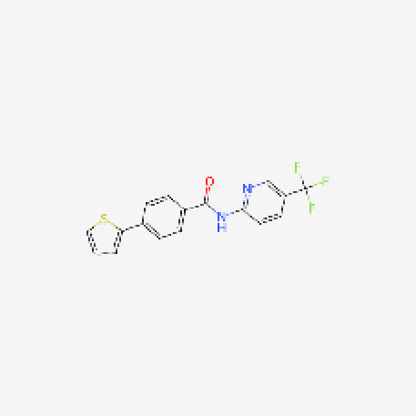 O=C(Nc1ccc(C(F)(F)F)cn1)c1ccc(-c2cccs2)cc1